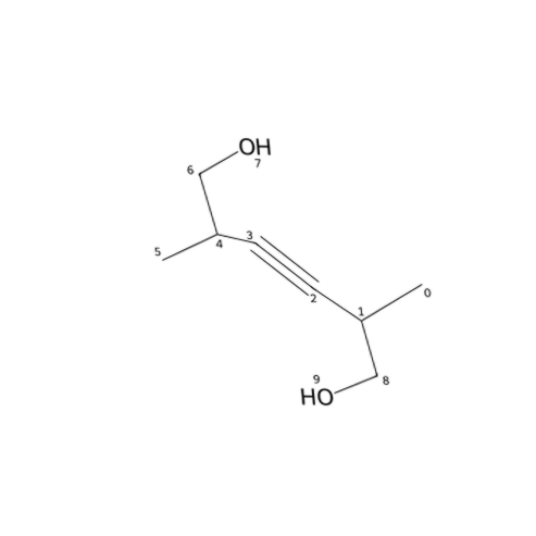 CC(C#CC(C)CO)CO